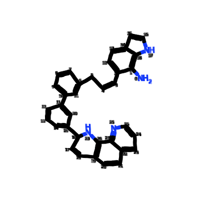 Nc1c(/C=C\Cc2cccc(-c3cccc(C4C=Cc5ccc6cccnc6c5N4)c3)c2)ccc2cc[nH]c12